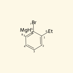 CCc1ccccc1Br.[MgH2]